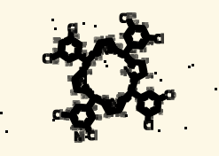 Clc1cc(Cl)cc(-c2c3nc(c(-c4cc(Cl)cc(Cl)c4)c4ccc([nH]4)c(-c4cc(Cl)cc(Cl)c4)c4nc(c(-c5cc(Cl)cc(Cl)c5)c5ccc2[nH]5)C=C4)C=C3)c1.[Ni]